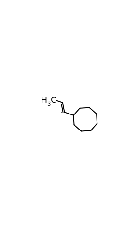 C/C=[C]/C1CCCCCCC1